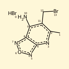 Br.Cc1nc2nonc2c(N)c1CBr